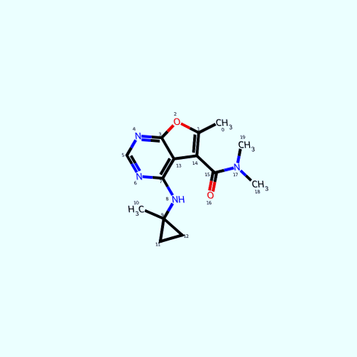 Cc1oc2ncnc(NC3(C)CC3)c2c1C(=O)N(C)C